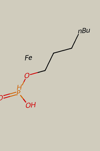 CCCCCCCO[PH](=O)O.[Fe]